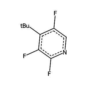 CC(C)(C)c1c(F)cnc(F)c1F